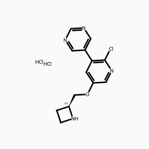 Cl.Cl.Clc1ncc(OC[C@@H]2CCN2)cc1-c1cncnc1